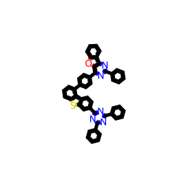 c1ccc(-c2nc(-c3ccccc3)nc(-c3ccc4c(c3)sc3cccc(-c5ccc(-c6nc(-c7ccccc7)nc7c6oc6ccccc67)cc5)c34)n2)cc1